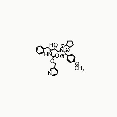 COc1ccc(S(=O)(=O)N(C[C@@H](O)[C@H](Cc2ccccc2)NC(=O)OCc2cccnc2)OC2CCCC2)cc1